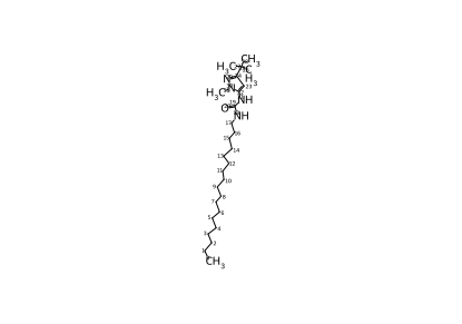 CCCCCCCCCCCCCCCCCCNC(=O)Nc1cc(C(C)(C)C)nn1C